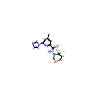 Cc1cc(C(=O)N[C@H]2COCCC2(F)F)nc(-n2ccnc2)c1